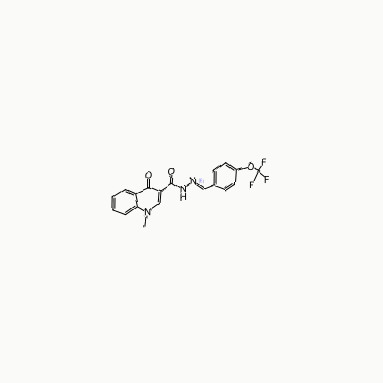 Cn1cc(C(=O)N/N=C/c2ccc(OC(F)(F)F)cc2)c(=O)c2ccccc21